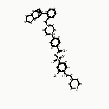 O=Nc1cc(S(=O)(=O)NC(=O)c2ccc(N3CCN(Cc4ccccc4C4=CC5CC4C4CCCC54)CC3)cc2)ccc1NCC1CCOCC1